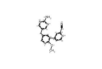 COc1ncc(Cc2cnc(N)nc2)cc1-c1ccnc(C#N)c1